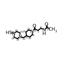 CC(=O)NCCC(=O)N1CCC(CN2CCN(S)CC2)CC1